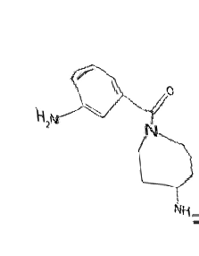 Nc1cccc(C(=O)N2CCC(N)CC2)c1